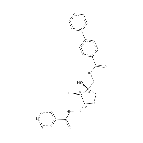 O=C(NC[C@H]1OC[C@@](O)(CNC(=O)c2ccc(-c3ccccc3)cc2)[C@@H]1O)c1ccnnc1